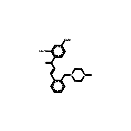 COc1ccc(C(=O)/C=C/c2ccccc2CN2CCN(C)CC2)c(OC)c1